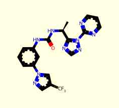 C[C@H](NC(=O)Nc1cccc(-n2cc(C(F)(F)F)cn2)c1)c1ncnn1-c1ncccn1